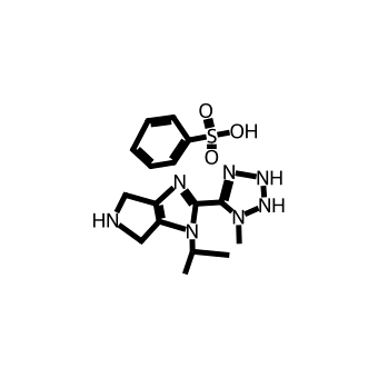 CC(C)n1c(C2=NNNN2C)nc2c1CNC2.O=S(=O)(O)c1ccccc1